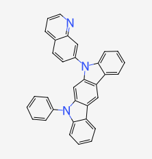 c1ccc(-n2c3ccccc3c3cc4c5ccccc5n(-c5ccc6cccnc6c5)c4cc32)cc1